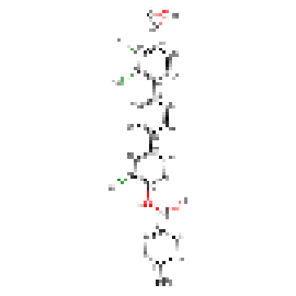 CCCCC1CC=C(C(=O)Oc2ccc(-c3ccc(-c4ccc(C5CO5)c(F)c4F)cc3)cc2F)CC1